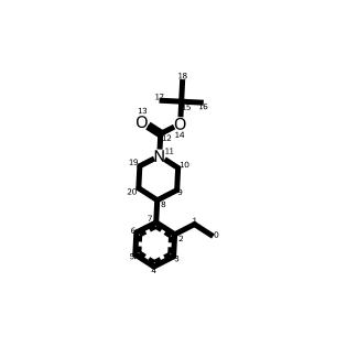 CCc1cc[c]cc1C1CCN(C(=O)OC(C)(C)C)CC1